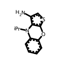 CC(C)N1c2ccccc2Oc2scc(N)c21